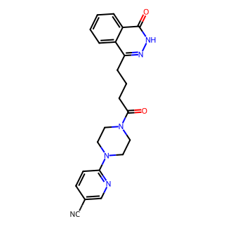 N#Cc1ccc(N2CCN(C(=O)CCCc3n[nH]c(=O)c4ccccc34)CC2)nc1